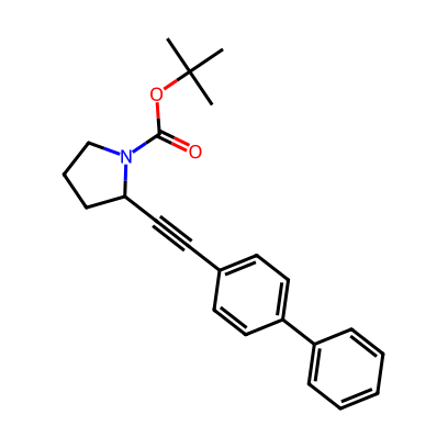 CC(C)(C)OC(=O)N1CCCC1C#Cc1ccc(-c2ccccc2)cc1